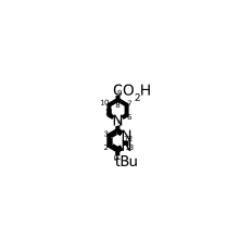 CC(C)(C)c1ccc(N2CCC(C(=O)O)CC2)nn1